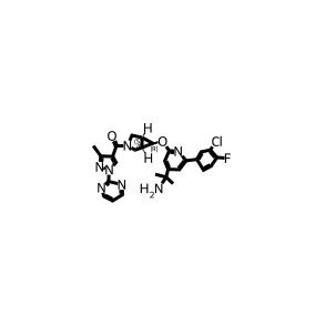 Cc1nn(-c2ncccn2)cc1C(=O)N1C[C@@H]2[C@H](C1)[C@@H]2Oc1cc(C(C)(C)N)cc(-c2ccc(F)c(Cl)c2)n1